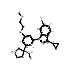 COCCOc1cc(-n2nc(C3CC3)c3cnc(Cl)cc32)nc([C@]2(OC)CCOC2)c1